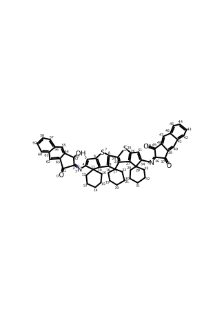 O=C1/C(=N/C2=Cc3sc4c(c3C23CCCCC3)C2(CCCCC2)c2c-4sc3c2C2(CCCCC2)C(N=c2c(=O)c4cc5ccccc5cc4c2=O)=C3)C(O)c2cc3ccccc3cc21